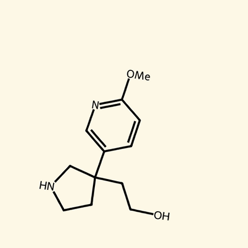 COc1ccc(C2(CCO)CCNC2)cn1